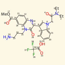 CCN(CC)C(=O)Cn1cc(-c2nc3ccc(C(=O)OC)cc3n(CCCN)c2=O)c2ccccc21.O=C(O)C(F)(F)F